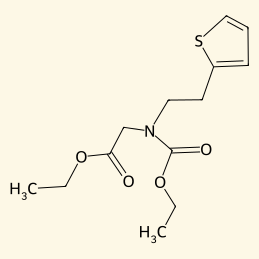 CCOC(=O)CN(CCc1cccs1)C(=O)OCC